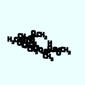 C=CC(=O)OCC(O)COC(C)COc1ccc(C(C)(C)c2ccc(OC(C)C(C)OCC(O)COC(=O)C=C)cc2)cc1